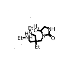 CCNCC(CC)(CNCC)CN1C(=O)NCC1C